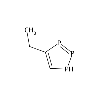 CCc1c[pH]pp1